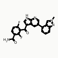 Cn1cc2c(-c3cnc4[nH]cc(C(=O)c5c(F)ccc(C(N)=O)c5F)c4c3)cccc2n1